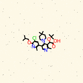 Cc1nc(OCC(C)C)c(Cl)cc1-c1cnc(C)c(C(OC(C)(C)C)C(=O)O)c1N1CCC(C)(C)CC1